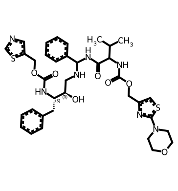 CC(C)C(NC(=O)OCc1csc(N2CCOCC2)n1)C(=O)NC(NC[C@@H](O)[C@H](Cc1ccccc1)NC(=O)OCc1cncs1)c1ccccc1